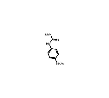 CNC(=O)Nc1ccc(NC(C)=O)cc1